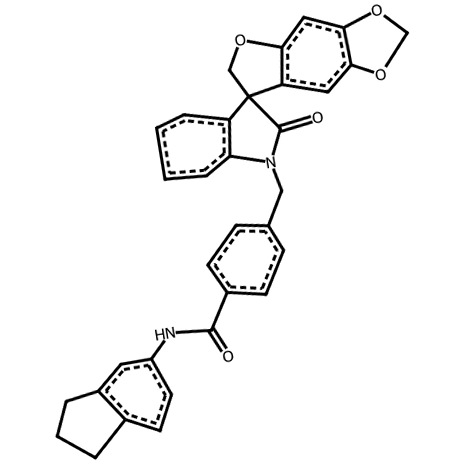 O=C(Nc1ccc2c(c1)CCC2)c1ccc(CN2C(=O)C3(COc4cc5c(cc43)OCO5)c3ccccc32)cc1